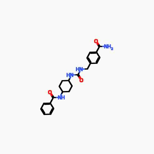 NC(=O)c1ccc(CNC(=O)NC2CCC(NC(=O)c3ccccc3)CC2)cc1